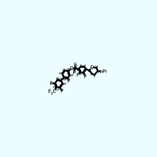 CCCC1CCC(c2ccc(C(F)(F)Oc3ccc(-c4cc(F)c(C(F)(F)F)c(F)c4)c(F)c3)c(F)c2F)OC1